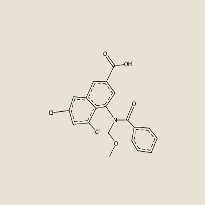 COCN(C(=O)c1ccccc1)c1cc(C(=O)O)cc2cc(Cl)cc(Cl)c12